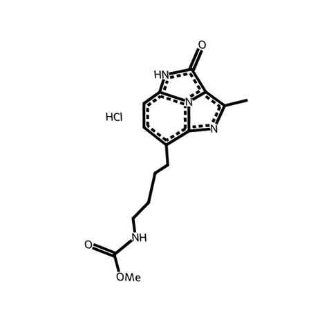 COC(=O)NCCCCc1ccc2[nH]c(=O)c3c(C)nc1n23.Cl